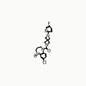 O=C(N1CC2(C1)CN(c1ccc(F)cn1)C2)N1CCC[S+]([O-])c2cc(Cl)ccc21